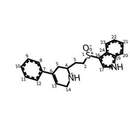 [O-][S+](CCC1CC(c2ccccc2)=CCN1)c1c[nH]c2ccccc12